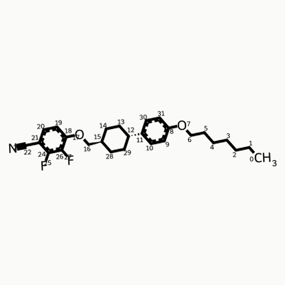 CCCCCCCOc1ccc([C@H]2CC[C@H](COc3ccc(C#N)c(F)c3F)CC2)cc1